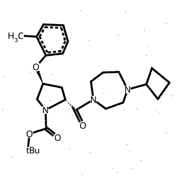 Cc1ccccc1O[C@H]1C[C@H](C(=O)N2CCCN(C3CCC3)CC2)N(C(=O)OC(C)(C)C)C1